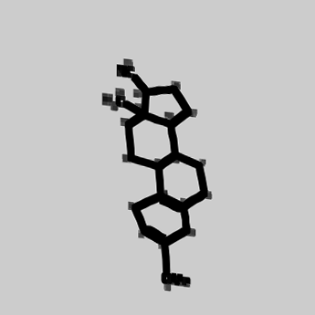 COC1=CCC2=C(CCC3C2CCC2(C)C(C#N)CCC32)C1